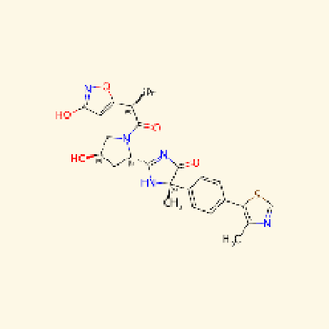 Cc1ncsc1-c1ccc([C@]2(C)NC([C@@H]3C[C@@H](O)CN3C(=O)[C@@H](c3cc(O)no3)C(C)C)=NC2=O)cc1